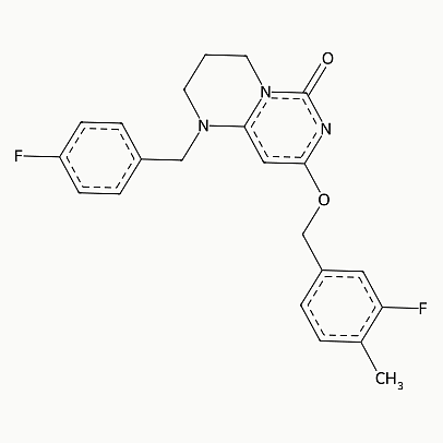 Cc1ccc(COc2cc3n(c(=O)n2)CCCN3Cc2ccc(F)cc2)cc1F